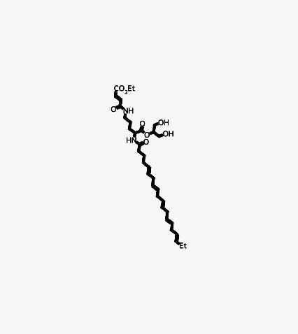 CCC=CCC=CCC=CCC=CCC=CCCCC(=O)NC(CCCNC(=O)C=CC(=O)OCC)C(=O)OC(CO)CO